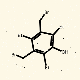 CCc1c(O)c(CC)c(CBr)c(CC)c1CBr